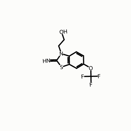 N=c1sc2cc(OC(F)(F)F)ccc2n1CCO